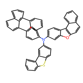 c1ccc(-c2cccc3cccc(-c4ccc(N(c5ccc6c(c5)oc5ccc7ccccc7c56)c5ccc6sc7ccccc7c6c5)cc4)c23)cc1